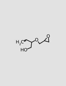 C=CC(CO)OCC1CO1